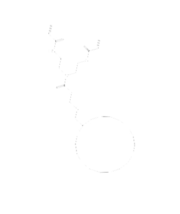 C=CC(=O)NCCN(CCNC(=O)C=C)C(=O)CCNCC1COCCOCCOCCOCCOCCO1